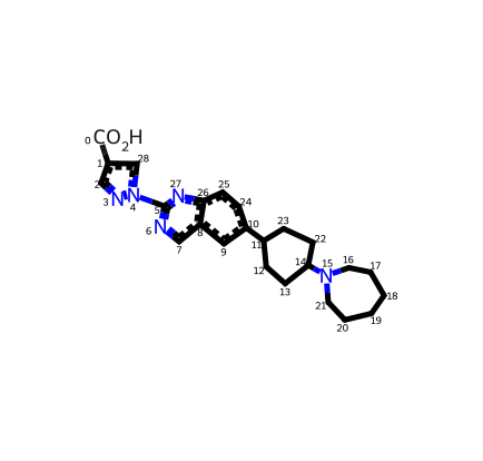 O=C(O)c1cnn(-c2ncc3cc(C4CCC(N5CCCCCC5)CC4)ccc3n2)c1